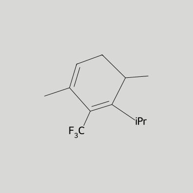 CC1=CCC(C)C(C(C)C)=C1C(F)(F)F